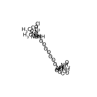 CC(=N)N1C(=N)[C@H](CC(=O)NCCOCCOCCOCCOCCOCCOCCOCCNC(=O)COc2cccc(C=O)c2C(O)NC(CCC=O)C(N)=O)N=C(c2ccc(Cl)cc2)c2c1sc(C)c2C